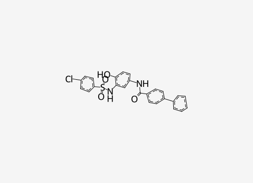 O=C(Nc1ccc(O)c(NS(=O)(=O)c2ccc(Cl)cc2)c1)c1ccc(-c2ccccc2)cc1